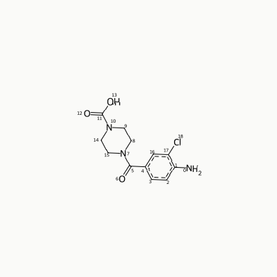 Nc1ccc(C(=O)N2CCN(C(=O)O)CC2)cc1Cl